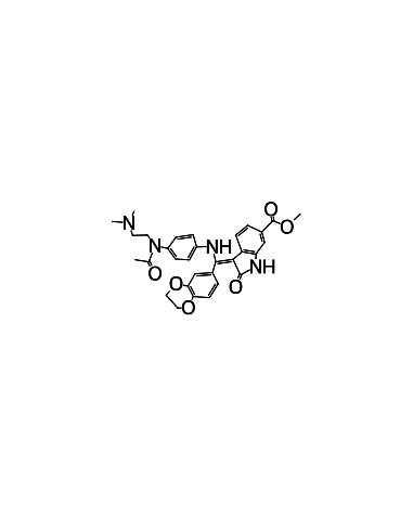 COC(=O)c1ccc2c(c1)NC(=O)C2=C(Nc1ccc(N(CCN(C)C)C(C)=O)cc1)c1ccc2c(c1)OCCO2